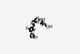 OCCn1cc(Nc2ncc3cnn(Cc4cc(F)cc(N5CCNCC5)c4F)c3n2)cn1